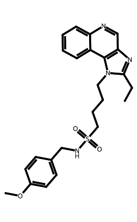 CCc1nc2cnc3ccccc3c2n1CCCCS(=O)(=O)NCc1ccc(OC)cc1